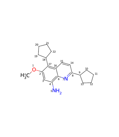 COc1cc(N)c2nc(C3CCCC3)ccc2c1C1CCCC1